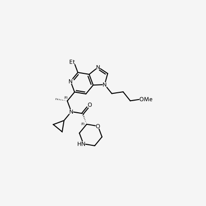 CCc1nc([C@@H](C)N(C(=O)[C@H]2CNCCO2)C2CC2)cc2c1ncn2CCCOC